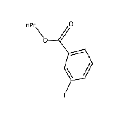 CCCOC(=O)c1cccc(I)c1